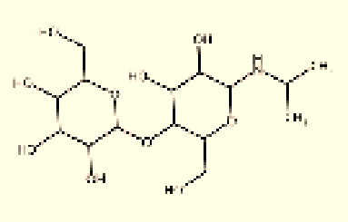 CC(C)NC1OC(CO)C(OC2OC(CO)C(O)C(O)C2O)C(O)C1O